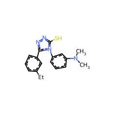 CCc1cccc(-c2nnc(S)n2-c2cccc(N(C)C)c2)c1